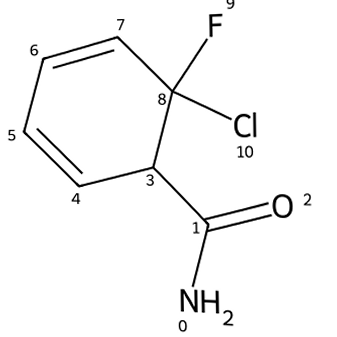 NC(=O)C1C=CC=CC1(F)Cl